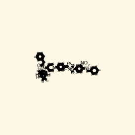 C[C@@H]1[C@@H](N(C(=O)Cc2ccccc2)C2CCN(c3ccc(C(=O)NS(=O)(=O)c4ccc(NCC5CCCCC5)c([N+](=O)[O-])c4)cc3)CC2)C[C@H]2C[C@@H]1C2(C)C